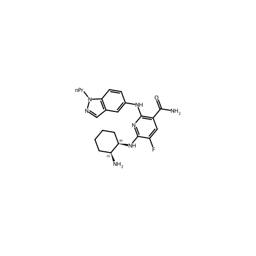 CCCn1ncc2cc(Nc3nc(N[C@@H]4CCCC[C@@H]4N)c(F)cc3C(N)=O)ccc21